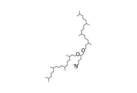 CC(C)CCCC(C)CCCC(C)CCCC(C)CCOCC(CCCN(C)C)OCCC(C)CCCC(C)CCCC(C)CCCC(C)C